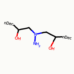 CCCCCCCCCCC(O)CN(N)CC(O)CCCCCCCCCC